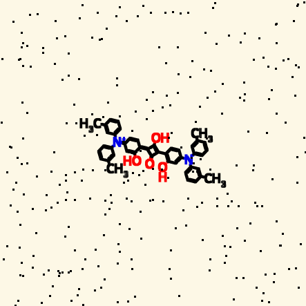 Cc1cccc(N(c2cccc(C)c2)c2ccc(C3=C(O)/C(=C4\C=CC(=[N+](c5cccc(C)c5)c5cccc(C)c5)C=C4O)C3=O)c(O)c2)c1